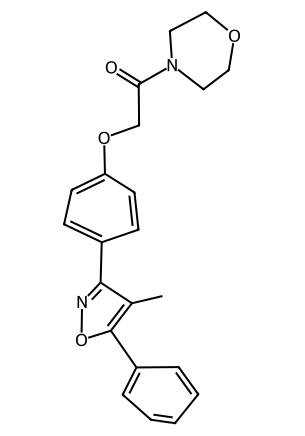 Cc1c(-c2ccc(OCC(=O)N3CCOCC3)cc2)noc1-c1ccccc1